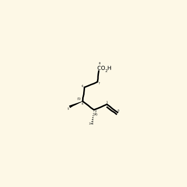 C=C[C@H](C)[C@@H](C)CCC(=O)O